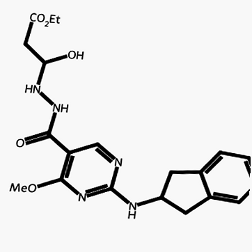 CCOC(=O)CC(O)NNC(=O)c1cnc(NC2Cc3ccccc3C2)nc1OC